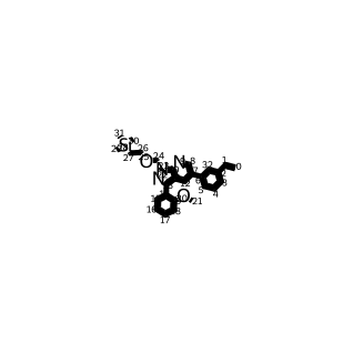 C=Cc1cccc(-c2cnc3c(c2)c(-c2ccccc2OC)nn3COCC[Si](C)(C)C)c1